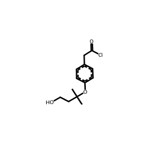 CC(C)(CCO)Oc1ccc(CC(=O)Cl)cc1